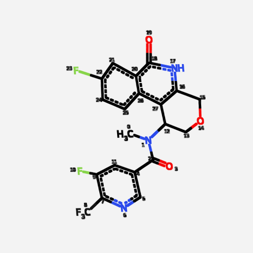 CN(C(=O)c1cnc(C(F)(F)F)c(F)c1)C1COCc2[nH]c(=O)c3cc(F)ccc3c21